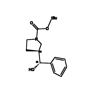 CC(C)(C)OC(=O)N1CC[C@H]([C@@H](O)c2ccccc2)C1